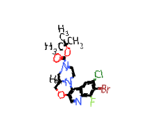 CC(C)(C)OC(=O)N1CCN2c3c(cnc4c(F)c(Br)c(Cl)cc34)OC[C@H]2C1